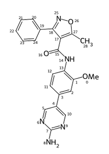 COc1cc(-c2cnc(N)nc2)ccc1NC(=O)c1c(-c2ccccc2)noc1C